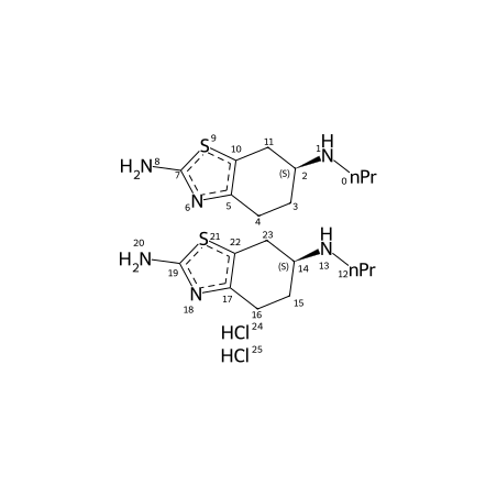 CCCN[C@H]1CCc2nc(N)sc2C1.CCCN[C@H]1CCc2nc(N)sc2C1.Cl.Cl